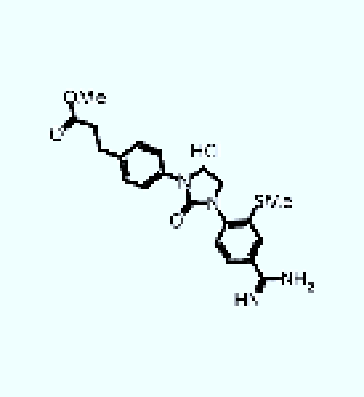 COC(=O)CCc1ccc(N2CCN(c3ccc(C(=N)N)cc3SC)C2=O)cc1.Cl